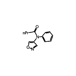 CCCC(=O)N(c1ccccc1)c1cnoc1